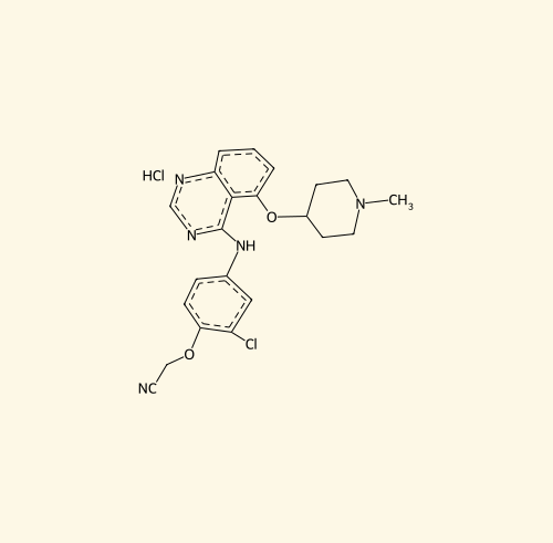 CN1CCC(Oc2cccc3ncnc(Nc4ccc(OCC#N)c(Cl)c4)c23)CC1.Cl